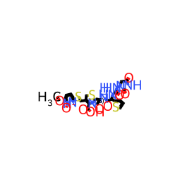 COc1ccc(SCC2=C(C(=O)O)N3C(=O)[C@H](NC(=O)C(NC(=O)NN4CC(=O)NC4=O)c4cccs4)C3SC2)n[n+]1[O-]